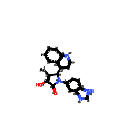 CC(=O)C1=C(O)C(=O)N(c2ccc3[nH]cnc3c2)C1c1ccnc2ccccc12